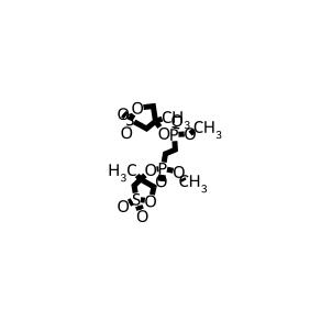 COP(=O)(CCP(=O)(OC)OC1(C)COS(=O)(=O)C1)OC1(C)COS(=O)(=O)C1